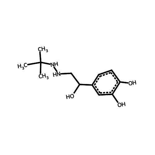 CC(C)(C)NNCC(O)c1ccc(O)c(O)c1